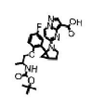 CC(COc1ccc(F)cc1C12CC1CCN2c1ccn2ncc(C(=O)O)c2n1)NC(=O)OC(C)(C)C